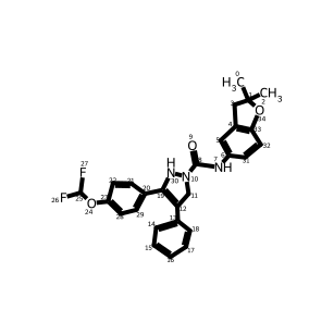 CC1(C)Cc2cc(NC(=O)N3CC(c4ccccc4)=C(c4ccc(OC(F)F)cc4)N3)ccc2O1